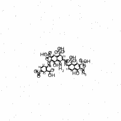 CN=Nc1c(S(=O)(=O)O)cc2c(S(=O)(=O)O)c(N=Nc3cc(S(=O)(=O)O)c4cc(S(=O)(=O)O)c(N=Nc5ccc([N+](=O)[O-])cc5C(=O)O)c(O)c4c3N)ccc2c1O